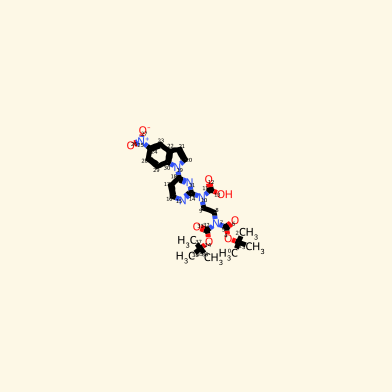 CC(C)(C)OC(=O)N(CCN(C(=O)O)c1nccc(-n2ccc3cc([N+](=O)[O-])ccc32)n1)C(=O)OC(C)(C)C